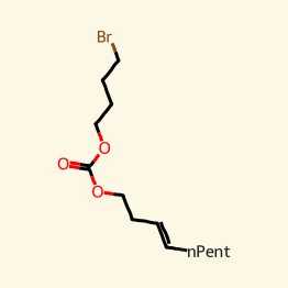 CCCCCC=CCCOC(=O)OCCCCBr